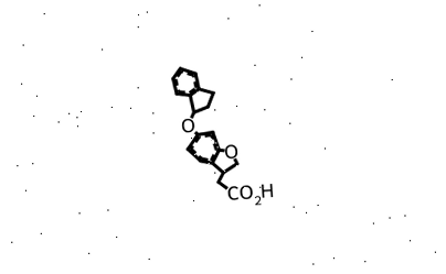 O=C(O)CC1COc2cc(OC3CCc4ccccc43)ccc21